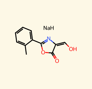 Cc1ccccc1C1=NC(=CO)C(=O)O1.[NaH]